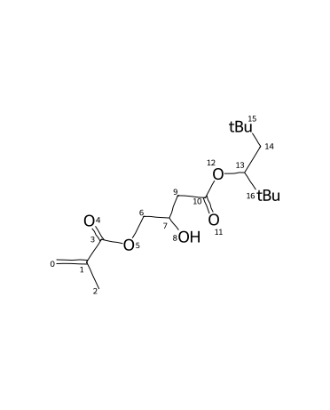 C=C(C)C(=O)OCC(O)CC(=O)OC(CC(C)(C)C)C(C)(C)C